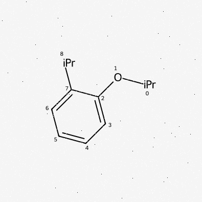 CC(C)Oc1ccccc1C(C)C